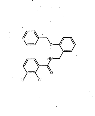 O=C(NCc1ccccc1OCc1ccccc1)c1cccc(Cl)c1Cl